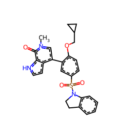 Cn1cc(-c2cc(S(=O)(=O)N3CCc4ccccc43)ccc2OCC2CC2)c2cc[nH]c2c1=O